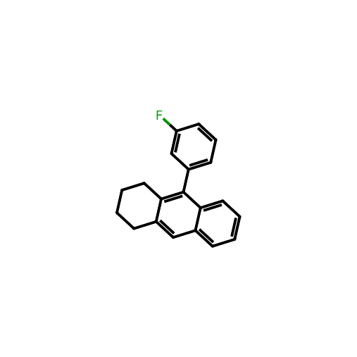 Fc1cccc(-c2c3c(cc4ccccc24)CCCC3)c1